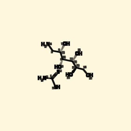 NC(=S)S.NC[C@H](O)[C@@H](O)[C@H](O)[C@H](O)CO